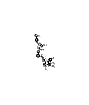 Cc1ncoc1-c1ccc(CNC(=O)[C@@H]2C[C@@H](O)CN2C(=O)[C@H](C(C)C)n2cc(-c3ccnc(O[C@H](C)CNC(=O)C[C@@H]4N=C(c5ccc(Cl)cc5)c5c(sc(C)c5C)-n5c(C)nnc54)c3)cn2)cc1